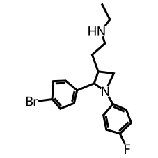 CCNCCC1CN(c2ccc(F)cc2)C1c1ccc(Br)cc1